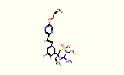 C=CCOc1cnc(/C(F)=C/c2cc(F)c(F)c([C@]3(C=C)CS(=O)(=O)N(C)C(N)=N3)c2)cn1